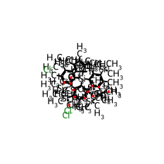 CC1=C(C)[C]([Ti+3])([Si](c2c([Si](C)(C)C)c([Si](C)(C)C)c(C)c([Si](C)(C)C)c2[Si](C)(C)C)(c2c([Si](C)(C)C)c([Si](C)(C)C)c(C)c([Si](C)(C)C)c2[Si](C)(C)C)c2c([Si](C)(C)C)c([Si](C)(C)C)c(C)c([Si](C)(C)C)c2[Si](C)(C)C)C(C)=C1C.[Cl-].[Cl-].[Cl-]